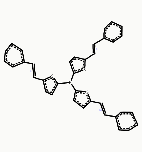 C(=C\c1ccc(P(c2ccc(/C=C/c3ccccc3)s2)c2ccc(/C=C/c3ccccc3)s2)s1)/c1ccccc1